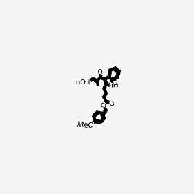 CCCCCCCC/C=C(\C)C(=O)c1c(CCCC(=O)OCc2ccc(OC)cc2)[nH]c2ccccc12